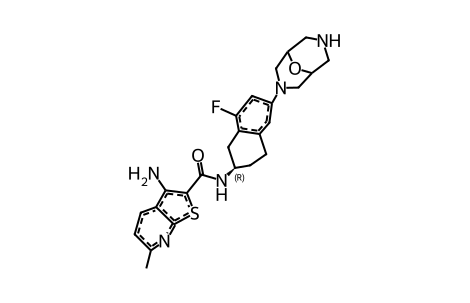 Cc1ccc2c(N)c(C(=O)N[C@@H]3CCc4cc(N5CC6CNCC(C5)O6)cc(F)c4C3)sc2n1